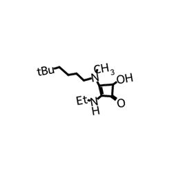 CCNC1=C(N(C)CCCCC(C)(C)C)C(O)C1=O